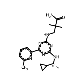 C[C@@H](Nc1nc(NCC(C)(C)C(N)=O)nc(-c2cccc(C(F)(F)F)n2)n1)C1CC1